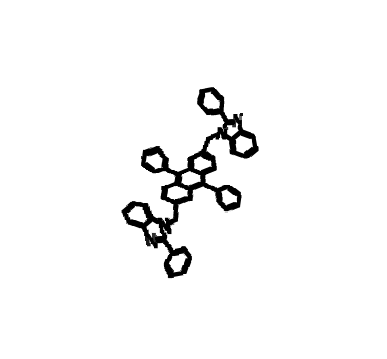 c1ccc(-c2c3ccc(Cn4c(-c5ccccc5)nc5ccccc54)cc3c(-c3ccccc3)c3ccc(Cn4c(-c5ccccc5)nc5ccccc54)cc23)cc1